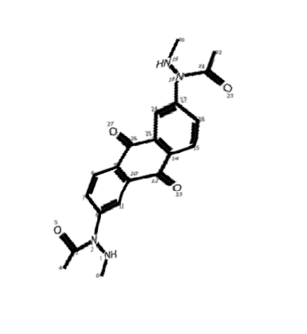 CNN(C(C)=O)c1ccc2c(c1)C(=O)c1ccc(N(NC)C(C)=O)cc1C2=O